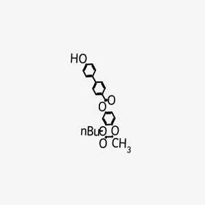 CCCCOC(=O)C(C)Oc1ccc(OC(=O)c2ccc(-c3ccc(O)cc3)cc2)cc1